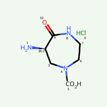 Cl.N[C@@H]1CN(C(=O)O)CCNC1=O